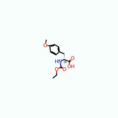 CCOC(=O)N[C@H](Cc1ccc(OC)cc1)C(=O)O